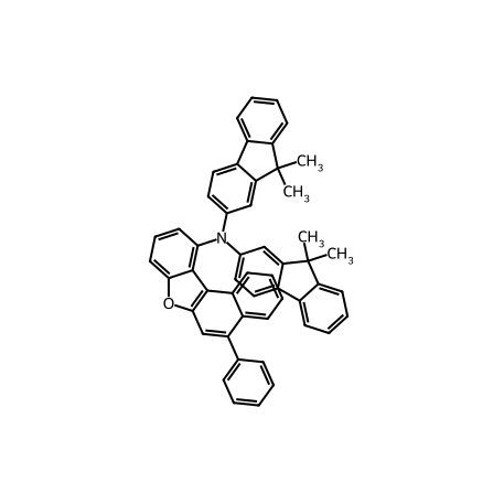 CC1(C)c2ccccc2-c2ccc(N(c3ccc4c(c3)C(C)(C)c3ccccc3-4)c3cccc4oc5cc(-c6ccccc6)c6ccccc6c5c34)cc21